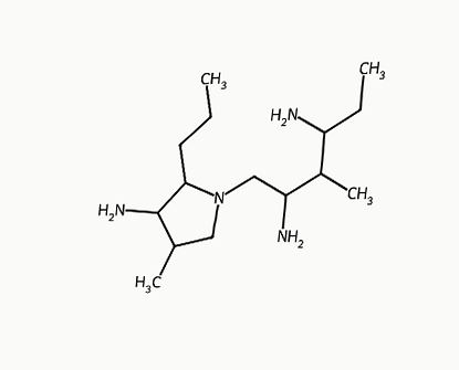 CCCC1C(N)C(C)CN1CC(N)C(C)C(N)CC